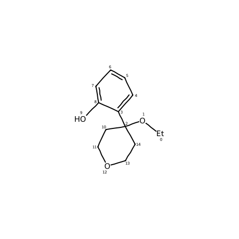 CCOC1(c2ccccc2O)CCOCC1